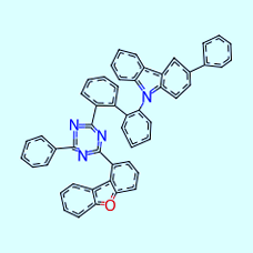 c1ccc(-c2ccc3c(c2)c2ccccc2n3-c2ccccc2-c2ccccc2-c2nc(-c3ccccc3)nc(-c3cccc4oc5ccccc5c34)n2)cc1